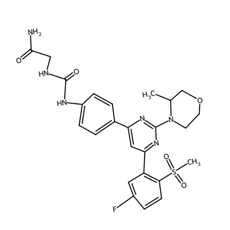 CC1COCCN1c1nc(-c2ccc(NC(=O)NCC(N)=O)cc2)cc(-c2cc(F)ccc2S(C)(=O)=O)n1